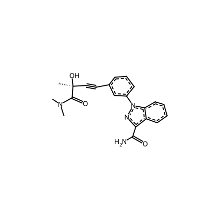 CN(C)C(=O)[C@@](C)(O)C#Cc1cccc(-n2nc(C(N)=O)c3ccccc32)c1